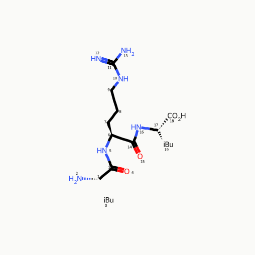 CC[C@H](C)[C@H](N)C(=O)N[C@@H](CCCNC(=N)N)C(=O)N[C@H](C(=O)O)[C@@H](C)CC